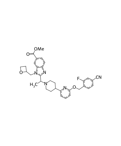 COC(=O)c1ccc2nc(C(C)N3CCC(c4cccc(OCc5ccc(C#N)cc5F)n4)CC3)n(CC3CCO3)c2c1